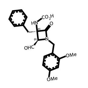 COc1ccc(CN2C(=O)[C@](Cc3ccccc3)(NC(=O)O)[C@@H]2C=O)c(OC)c1